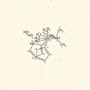 C[SiH](C)[Ti]([CH3])([CH3])([CH3])([CH3])([CH3])([CH3])([CH3])([C]1=CC=CC1)[c]1ccc[nH]1.Cl.Cl